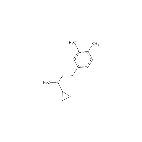 Cc1ccc(CCN(C)C2CC2)cc1C